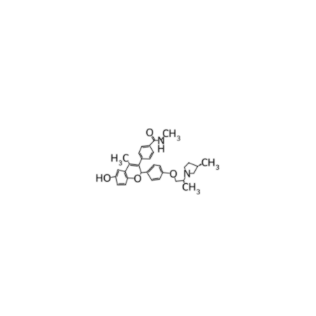 CNC(=O)c1ccc(C2=C(C)c3cc(O)ccc3OC2c2ccc(OC[C@H](C)N3CC[C@@H](C)C3)cc2)cc1